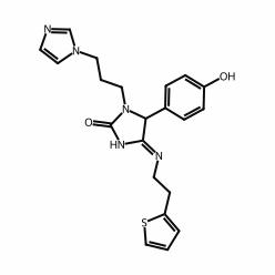 O=C1NC(=NCCc2cccs2)C(c2ccc(O)cc2)N1CCCn1ccnc1